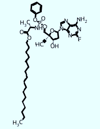 C#C[C@]1(COP(=O)(N[C@@H](C)C(=O)OCCCCCCCCCCCCCCCCC)Oc2ccccc2)O[C@@H](n2cnc3c(N)nc(F)nc32)C[C@@H]1O